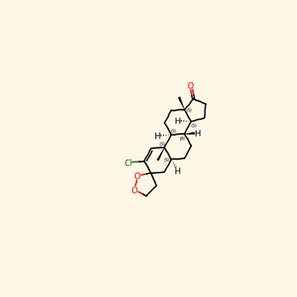 C[C@]12C=C(Cl)C3(CCOO3)C[C@@H]1CC[C@@H]1[C@@H]2CC[C@]2(C)C(=O)CC[C@@H]12